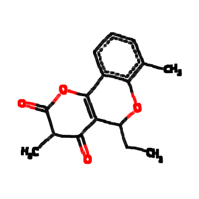 CCC1Oc2c(C)cccc2C2=C1C(=O)C(C)C(=O)O2